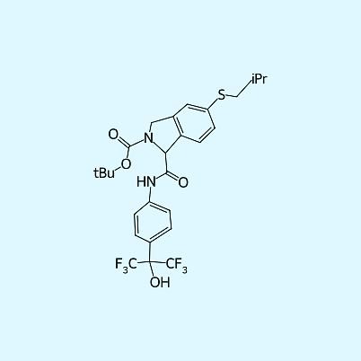 CC(C)CSc1ccc2c(c1)CN(C(=O)OC(C)(C)C)C2C(=O)Nc1ccc(C(O)(C(F)(F)F)C(F)(F)F)cc1